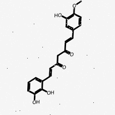 COc1ccc(C=CC(=O)CC(=O)C=Cc2cccc(O)c2O)cc1O